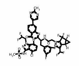 Cc1ncc(-c2ccc3c(=O)n(-c4ccc(Cl)c5c(NS(C)(=O)=O)nn(CC(F)F)c45)c(C(Cc4cc(F)cc(F)c4)NC(=O)Cn4nc(C(F)F)c5c4C(F)(F)[C@@H]4C[C@H]54)nc3c2)cn1